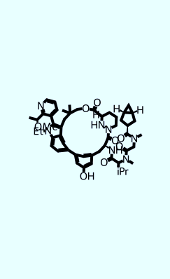 CCn1c(-c2cccnc2[C@H](C)OC)c2c3cc(ccc31)-c1cc(O)cc(c1)C[C@H](NC(=O)C(C(C)C)N(C)C(=O)CN(C)C(=O)[C@H]1C[C@@H]3C[C@@H]3C1)C(=O)N1CCC[C@H](N1)C(=O)OCC(C)(C)C2